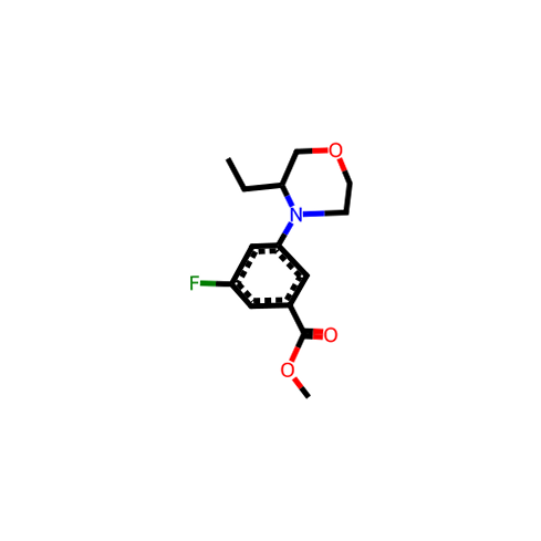 CCC1COCCN1c1cc(F)cc(C(=O)OC)c1